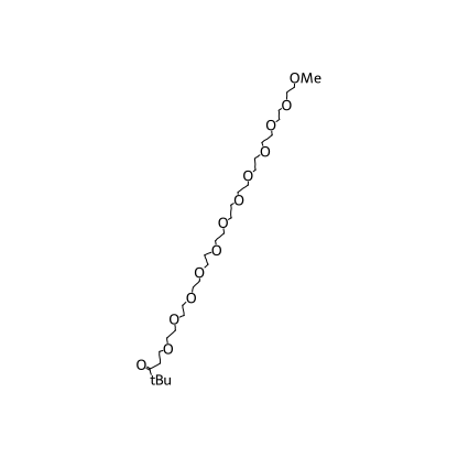 COCCOCCOCCOCCOCCOCCOCCOCCOCCOCCOCCOCCC(=O)C(C)(C)C